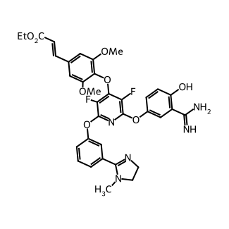 CCOC(=O)C=Cc1cc(OC)c(Oc2c(F)c(Oc3cccc(C4=NCCN4C)c3)nc(Oc3ccc(O)c(C(=N)N)c3)c2F)c(OC)c1